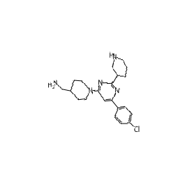 NCC1CCN(c2cc(-c3ccc(Cl)cc3)nc(C3CCCNC3)n2)CC1